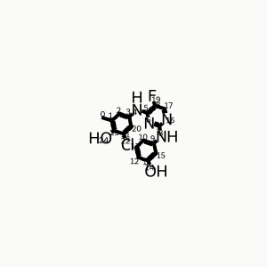 Cc1cc(Nc2nc(Nc3cccc(O)c3)ncc2F)cc(Cl)c1O